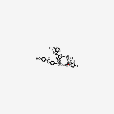 Nc1ncnc2c1ncn2[C@@H]1OC2COP(=O)(O)O[C@@H]3[C@H](F)C(CO[P@](=O)(SCc4ccc(OC(=O)c5ccc(O)cc5)cc4)O[C@H]2[C@H]1F)O[C@H]3n1ccc(=O)[nH]c1=O